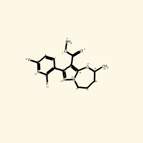 BOC(=O)c1c(-c2ccc(F)nc2F)nn2c1OC(C)CCC2